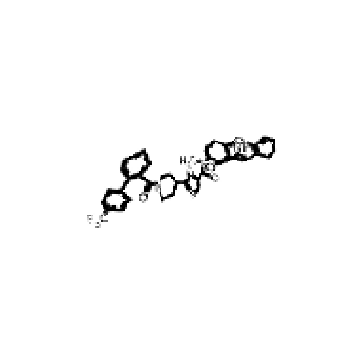 CN(C(=O)c1csc(C2CCN(C(=O)c3ccccc3-c3ccc(C(F)(F)F)cc3)CC2)n1)C1CCC23NC(=O)CC(c4ccccc4O2)C3C1